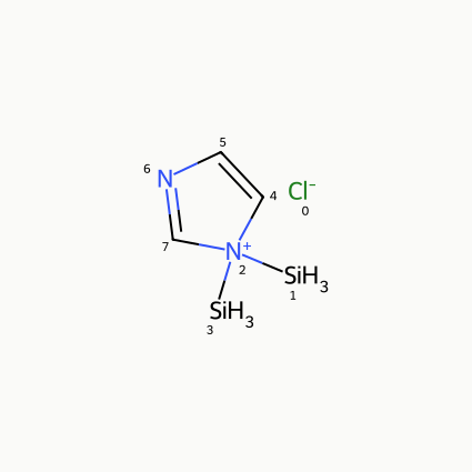 [Cl-].[SiH3][N+]1([SiH3])C=CN=C1